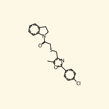 Cc1oc(-c2ccc(Cl)cc2)nc1CSCC(=O)N1CCc2ccccc21